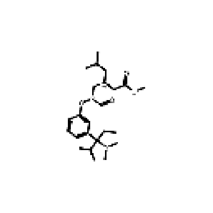 CCC(c1cccc(ON(C=O)C[C@H](CC(=O)OC)CC(C)C)c1)(C(C)C)N(C)C